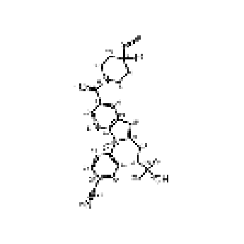 C=CC1(F)CCN(C(=O)c2cnc3c(c2)cc(CCC(C)(C)O)n3-c2ccc(C#N)cc2)CC1